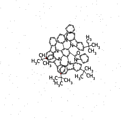 CC(C)(C)c1ccc2c(c1)c1ccccc1n2-c1c(-c2cccc(-c3ccccc3)n2)c(-n2c3ccccc3c3cc(C(C)(C)C)ccc32)c(-n2c3ccccc3c3cc(C(C)(C)C)ccc32)c(-n2c3ccccc3c3cc(C(C)(C)C)ccc32)c1-c1nc2ccccc2o1